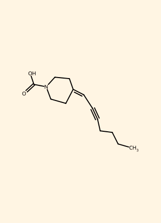 CCCCC#CC=C1CCN(C(=O)O)CC1